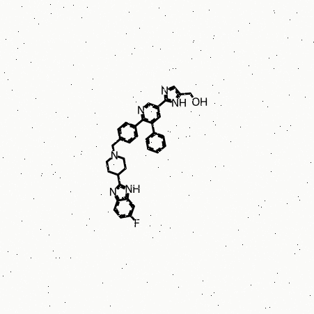 OCc1cnc(-c2cnc(-c3ccc(CN4CCC(c5nc6ccc(F)cc6[nH]5)CC4)cc3)c(-c3ccccc3)c2)[nH]1